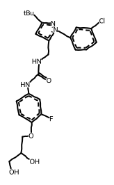 CC(C)(C)c1cc(CNC(=O)Nc2ccc(OCC(O)CO)c(F)c2)n(-c2cccc(Cl)c2)n1